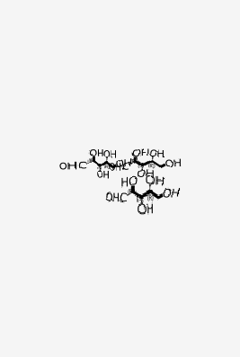 O=C[C@H](O)[C@@H](O)[C@H](O)CO.O=C[C@H](O)[C@@H](O)[C@H](O)CO.O=C[C@H](O)[C@@H](O)[C@H](O)CO